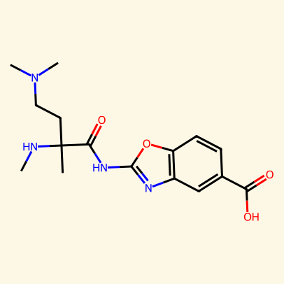 CNC(C)(CCN(C)C)C(=O)Nc1nc2cc(C(=O)O)ccc2o1